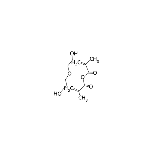 C=C(C)C(=O)OC(=O)C(=C)C.OCCOCCO